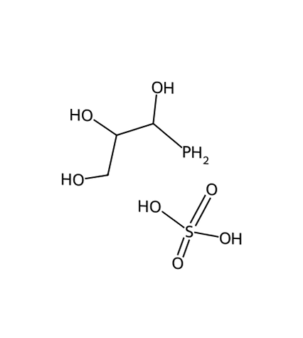 O=S(=O)(O)O.OCC(O)C(O)P